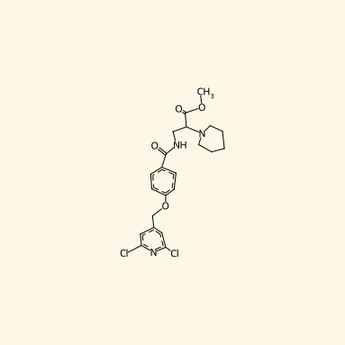 COC(=O)C(CNC(=O)c1ccc(OCc2cc(Cl)nc(Cl)c2)cc1)N1CCCCC1